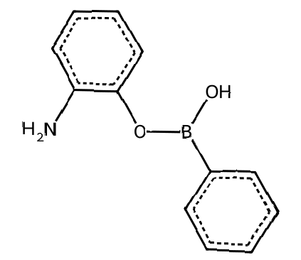 Nc1ccccc1OB(O)c1ccccc1